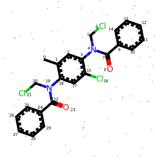 Cc1cc(N(CCl)C(=O)c2ccccc2)c(Cl)cc1N(CCl)C(=O)c1ccccc1